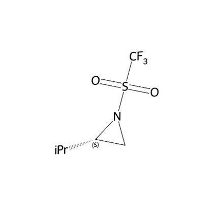 CC(C)[C@H]1CN1S(=O)(=O)C(F)(F)F